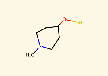 CN1CCC(OS)CC1